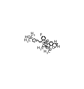 COC(=O)c1c(N(C(=O)OC)S(=O)(=O)c2ccc(F)cc2/C=C\CN2CC[C@@H](C(C)(C)O)C2)ccc2c1OC[C@@H]1C[C@H]21